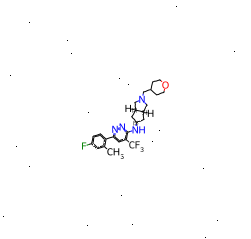 Cc1cc(F)ccc1-c1cc(C(F)(F)F)c(N[C@H]2C[C@@H]3CN(CC4CCOCC4)C[C@@H]3C2)nn1